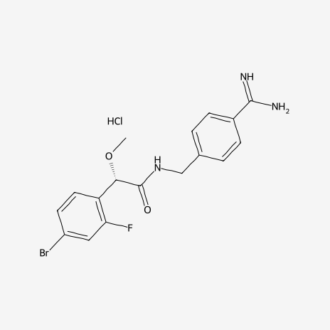 CO[C@H](C(=O)NCc1ccc(C(=N)N)cc1)c1ccc(Br)cc1F.Cl